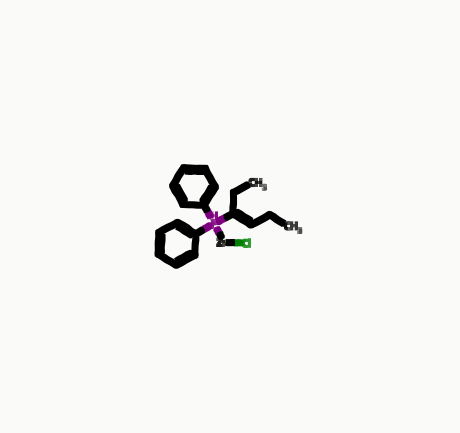 CCC=C(CC)[PH]([Zr][Cl])(c1ccccc1)c1ccccc1